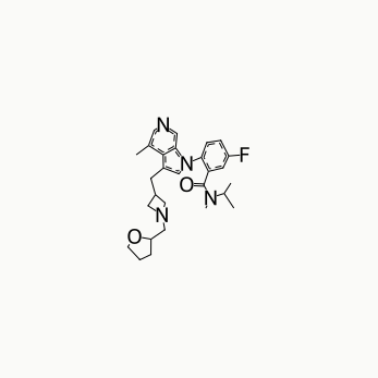 Cc1cncc2c1c(CC1CN(CC3CCCO3)C1)cn2-c1ccc(F)cc1C(=O)N(C)C(C)C